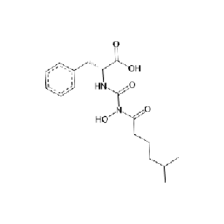 CC(C)CCCC(=O)N(O)C(=O)N[C@H](Cc1ccccc1)C(=O)O